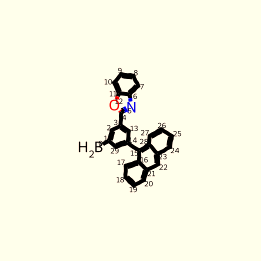 Bc1cc(-c2nc3ccccc3o2)cc(-c2c3ccccc3cc3ccccc23)c1